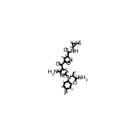 CC(C(N)=O)N(c1ccc(F)cc1)c1nc(N)c(C(=O)c2cc(C(=O)NC3CC3F)no2)s1